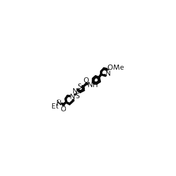 CCN(C)C(=O)C1CCN(c2nc3sc(C(=O)Nc4ccc(C5C=NC(OC)=CC5)cc4)cc3s2)CC1